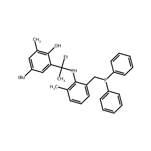 CCC(C)(Pc1c(C)cccc1CP(c1ccccc1)c1ccccc1)c1cc(C(C)(C)C)cc(C)c1O